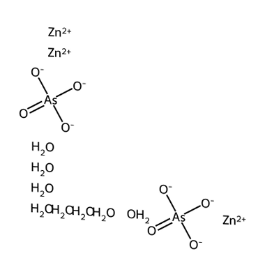 O.O.O.O.O.O.O.O.O=[As]([O-])([O-])[O-].O=[As]([O-])([O-])[O-].[Zn+2].[Zn+2].[Zn+2]